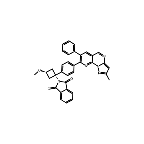 CO[C@H]1C[C@](c2ccc(-c3nc4c(cnc5cc(C)nn54)cc3-c3ccccc3)cc2)(N2C(=O)c3ccccc3C2=O)C1